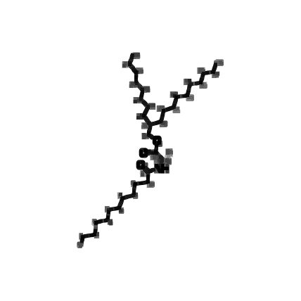 CCCCCCCCCCCC(=O)N[C@@H](C)C(=O)OCC(CCCCCCCC)CCCCCCCCCC